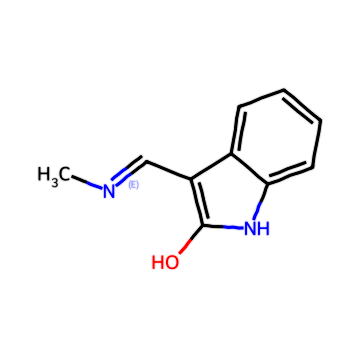 C/N=C/c1c(O)[nH]c2ccccc12